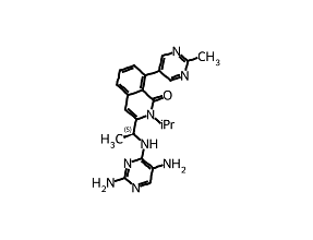 Cc1ncc(-c2cccc3cc([C@H](C)Nc4nc(N)ncc4N)n(C(C)C)c(=O)c23)cn1